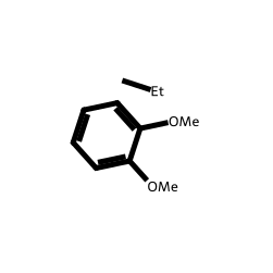 CCC.COc1ccccc1OC